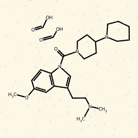 COc1ccc2c(c1)c(CCN(C)C)cn2C(=O)N1CCC(N2CCCCC2)CC1.O=CO.O=CO